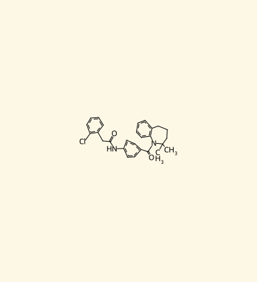 CC1(C)CCCc2ccccc2N1C(=O)c1ccc(NC(=O)Cc2ccccc2Cl)cc1